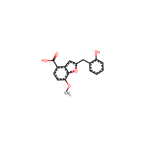 COc1ccc(C(=O)O)c2cc(Cc3ccccc3O)oc12